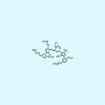 C/N=C/OC1=NN(c2cc(SOOO)ccc2S(=O)(=O)O)C(=O)/C1=C\C=C(C=Cc1c(C)nn(-c2cc(SOOO)ccc2S(=O)(=O)O)c1O)N1CCCC1=O